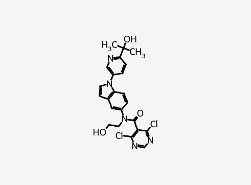 CC(C)(O)c1ccc(-n2ccc3cc(N(CCO)C(=O)c4c(Cl)ncnc4Cl)ccc32)cn1